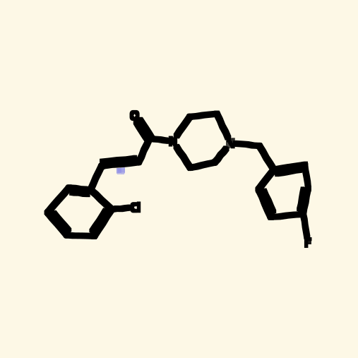 O=C(/C=C/c1ccccc1Cl)N1CCN(Cc2ccc(F)cc2)CC1